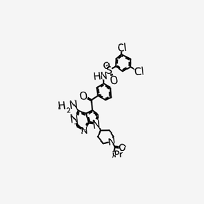 CC(C)C(=O)N1CCC(n2cc(C(=O)c3cccc(NS(=O)(=O)c4cc(Cl)cc(Cl)c4)c3)c3c(N)ncnc32)CC1